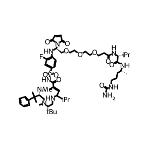 CN[C@H](CN(C)[C@H](CNC(/C=C(\C)C(=O)NS(=O)(=O)c1ccc(N[C@H](COCCOCCOCCC(=O)N[C@@H](C(=O)N[C@H](C)CCCNC(N)=O)C(C)C)N2C(=O)C=CC2=O)c(F)c1)C(C)C)C(C)(C)C)C(C)(C)c1ccccc1